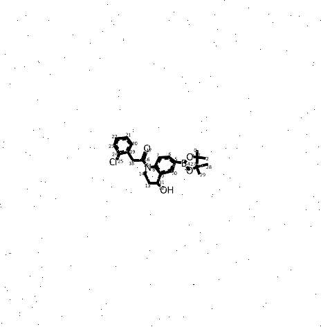 CC1(C)OB(c2ccc3c(c2)C(O)CCN3C(=O)Cc2ccccc2Cl)OC1(C)C